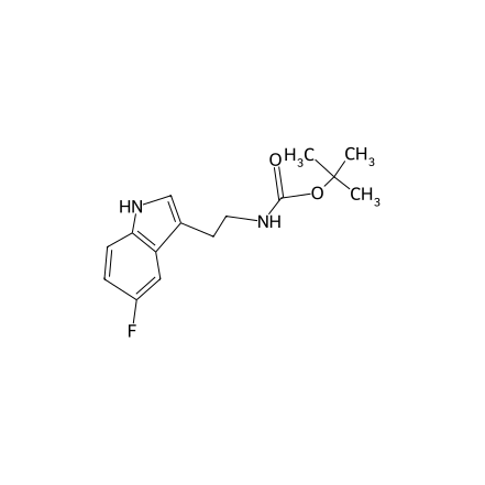 CC(C)(C)OC(=O)NCCc1c[nH]c2ccc(F)cc12